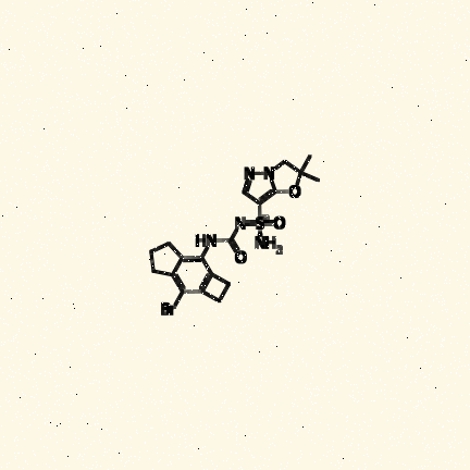 CC1(C)Cn2ncc([S@](N)(=O)=NC(=O)Nc3c4c(c(Br)c5c3CC5)CCC4)c2O1